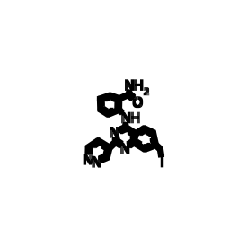 NC(=O)c1ccccc1Nc1nc(-c2ccnnc2)nc2cc(CI)ccc12